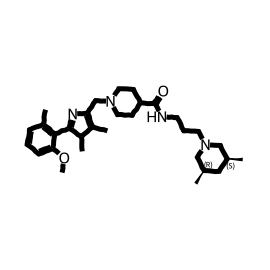 COc1cccc(C)c1C1=NC(CN2CCC(C(=O)NCCCN3C[C@H](C)C[C@H](C)C3)CC2)=C(C)C1C